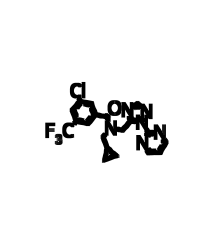 O=C(c1cc(Cl)cc(C(F)(F)F)c1)N(Cc1ncnn1-c1ncccn1)CC1CC1